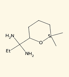 CCC(N)(N)C1CCC[Si](C)(C)O1